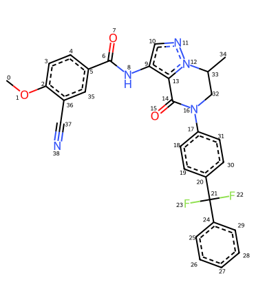 COc1ccc(C(=O)Nc2cnn3c2C(=O)N(c2ccc(C(F)(F)c4ccccc4)cc2)CC3C)cc1C#N